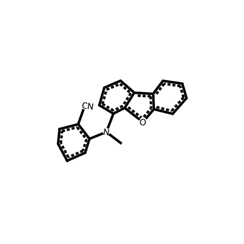 CN(c1ccccc1C#N)c1cccc2c1oc1ccccc12